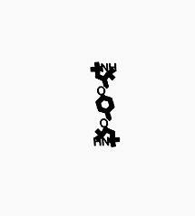 CC1(C)CC(COC2CCC(COC3CC(C)(C)NC3(C)C)CC2)C(C)(C)N1